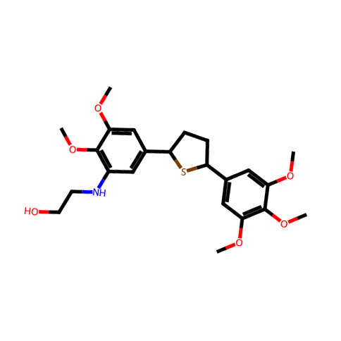 COc1cc(C2CCC(c3cc(OC)c(OC)c(OC)c3)S2)cc(NCCO)c1OC